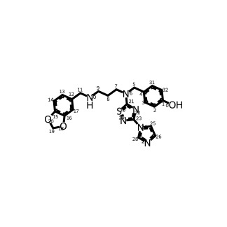 Oc1ccc(CN(CCCNCc2ccc3c(c2)OCO3)c2nc(-n3ccnc3)ns2)cc1